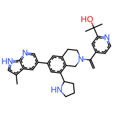 C=C(c1ccnc(C(C)(C)O)c1)N1CCc2cc(-c3cnc4[nH]cc(C)c4c3)cc(C3CCCN3)c2C1